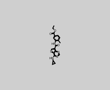 CCOC(=O)c1ccc(C)c(NC(=O)c2csc3c(NC4CC4)ncnc23)c1